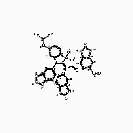 O=C1OC(O)(c2ccc(OC(F)F)cc2)C(Cc2ccc3nnsc3c2)=C1c1ccc2nsnc2c1.O=Cc1ccc2nnsc2c1